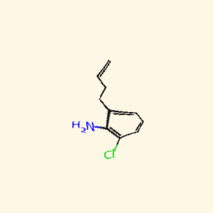 C=CCCc1cccc(Cl)c1N